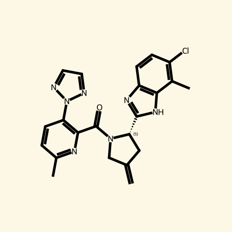 C=C1C[C@@H](c2nc3ccc(Cl)c(C)c3[nH]2)N(C(=O)c2nc(C)ccc2-n2nccn2)C1